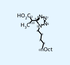 CCCCCCCCCCCCn1nnnc1C(C)C(=O)O